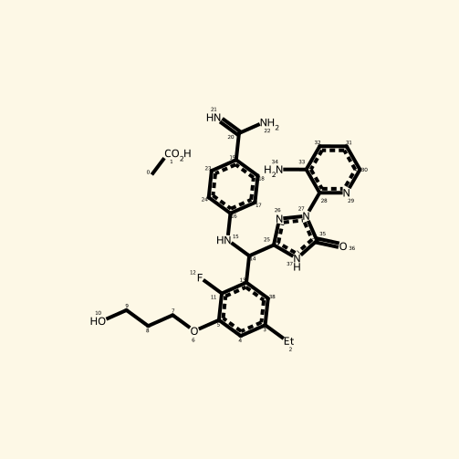 CC(=O)O.CCc1cc(OCCCO)c(F)c(C(Nc2ccc(C(=N)N)cc2)c2nn(-c3ncccc3N)c(=O)[nH]2)c1